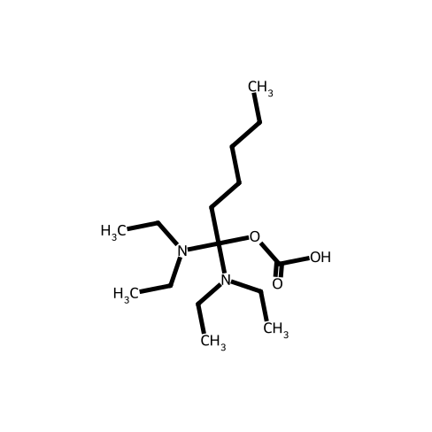 CCCCCC(OC(=O)O)(N(CC)CC)N(CC)CC